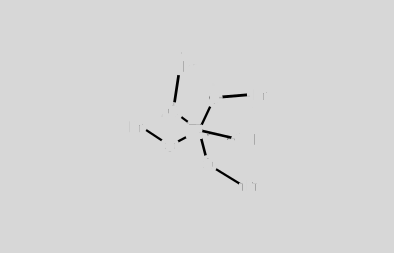 CC(C)[O][Ti]([CH3])([O]C(C)C)([O]C(C)C)[O]C(C)C